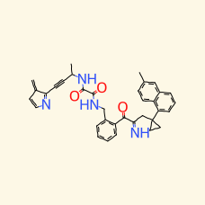 C=C1C=CN=C1C#CC(C)NC(=O)C(=O)NCc1ccccc1C(=O)C(=N)CC1(c2cccc3cc(C)ccc23)CC1